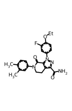 CCOc1ccc(-n2nc(C(N)=O)c3c2C(=O)N(c2ccc(C)c(C)c2)CC3)cc1F